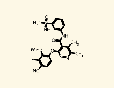 COc1c(Oc2nnc(C(F)(F)F)c(C)c2C(=O)Nc2cccc(S(C)(=N)=O)c2)ccc(C#N)c1F